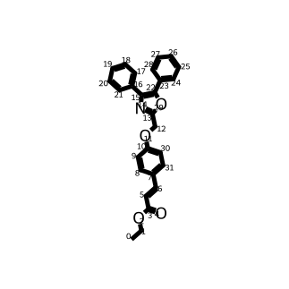 CCOC(=O)C=Cc1ccc(OCc2nc(-c3ccccc3)c(-c3ccccc3)o2)cc1